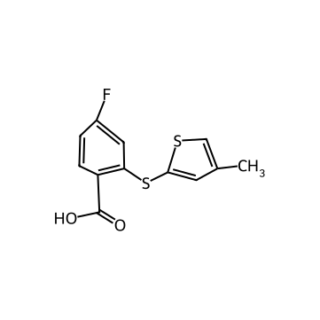 Cc1csc(Sc2cc(F)ccc2C(=O)O)c1